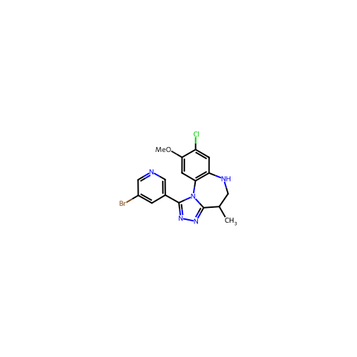 COc1cc2c(cc1Cl)NCC(C)c1nnc(-c3cncc(Br)c3)n1-2